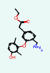 CCOC(=O)Cc1ccc(CN)c(Oc2c(C)ccc(O)c2C)c1